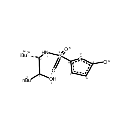 CCCCC(O)C(NS(=O)(=O)c1ccc(Cl)s1)[C@@H](C)CC